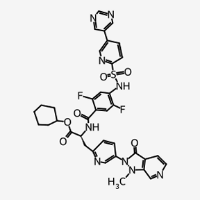 Cn1c2cnccc2c(=O)n1-c1ccc(C[C@H](NC(=O)c2cc(F)c(NS(=O)(=O)c3ccc(-c4cncnc4)cn3)cc2F)C(=O)OC2CCCCC2)nc1